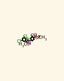 CCOC(=O)c1ccc(C2=NOC(C)(c3cc(Cl)cc(Cl)c3)C2Br)cc1C